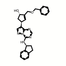 O[C@H]1C[C@H](c2cnn3c(N[C@H]4CCc5ccccc54)ncnc23)C=C1COCc1ccccc1